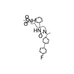 CC(c1ccc(-c2ccc(F)cc2)cc1)N1CCC(CCCNS(C)(=O)=O)(c2ccccc2)NC1=O